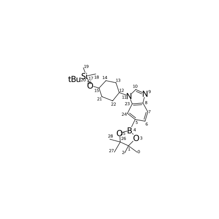 CC1(C)OB(c2ccc3ncn(C4CCC(O[Si](C)(C)C(C)(C)C)CC4)c3c2)OC1(C)C